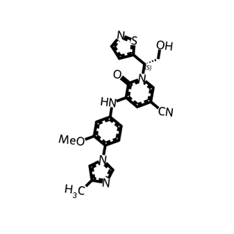 COc1cc(Nc2cc(C#N)cn([C@@H](CO)c3ccns3)c2=O)ccc1-n1cnc(C)c1